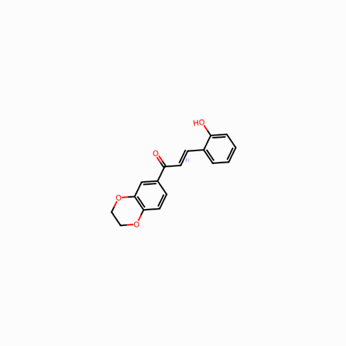 O=C(/C=C/c1ccccc1O)c1ccc2c(c1)OCCO2